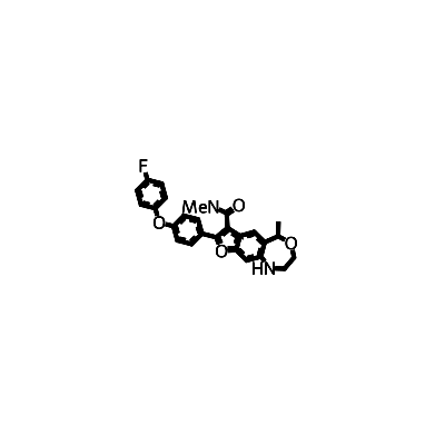 CNC(=O)c1c(-c2ccc(Oc3ccc(F)cc3)cc2)oc2cc3c(cc12)C(C)OCCN3